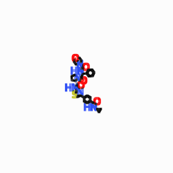 O=C(NC1CC1)c1ccc(-c2csc(NC(=O)[C@@H]3CCCN3C(=O)[C@H](NC(=O)N3CCOCC3)c3ccccc3)n2)cc1